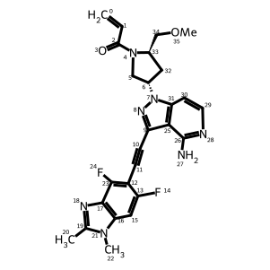 C=CC(=O)N1C[C@@H](n2nc(C#Cc3c(F)cc4c(nc(C)n4C)c3F)c3c(N)nccc32)C[C@@H]1COC